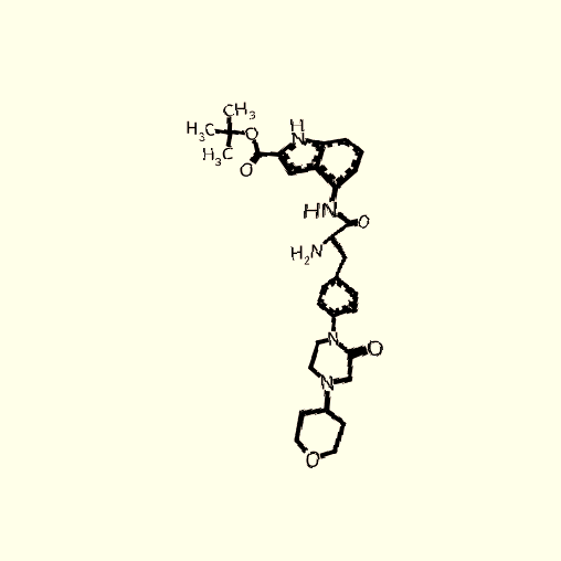 CC(C)(C)OC(=O)c1cc2c(NC(=O)C(N)Cc3ccc(N4CCN(C5CCOCC5)CC4=O)cc3)cccc2[nH]1